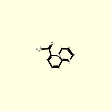 NC(=O)C1=CC=CC2=NC=CCN12